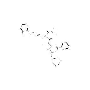 CCC(C)[C@H](N)C(=O)N(C/C=C/CNc1ncccc1[N+](=O)[O-])C(=O)[C@@H](C[C@H](O)[C@H](CC1CCCCC1)NC(=O)c1ccccn1)C(C)C